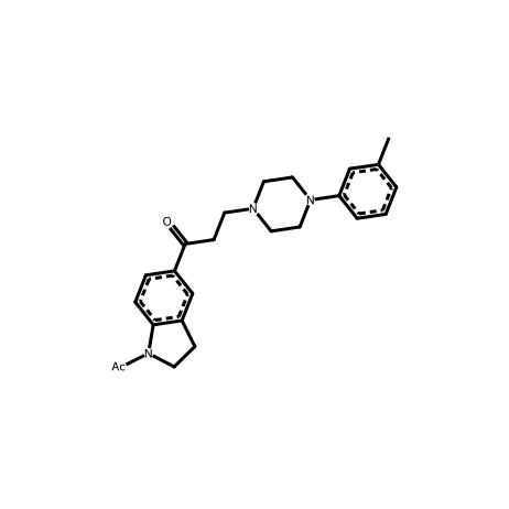 CC(=O)N1CCc2cc(C(=O)CCN3CCN(c4cccc(C)c4)CC3)ccc21